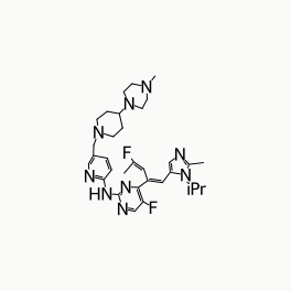 C/C(F)=C\C(=C/c1cnc(C)n1C(C)C)c1nc(Nc2ccc(CN3CCC(N4CCN(C)CC4)CC3)cn2)ncc1F